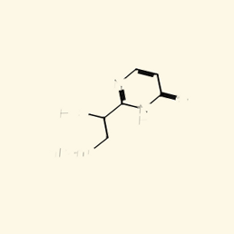 CCCCCCC(C)c1nccc(=O)[nH]1